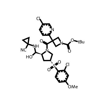 COc1ccc(S(=O)(=O)[C@@H]2C[C@@H](C(O)NC3(C#N)CC3)N(C(=O)C3(c4ccc(Cl)cn4)CN(C(=O)OC(C)(C)C)C3)C2)c(Cl)c1